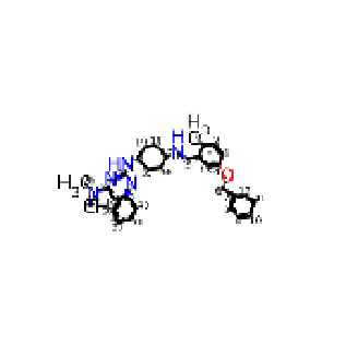 CC1C=CC(OCc2ccccc2)=CC1CN[C@H]1CC[C@@H](Nc2nc(N(C)C)c3ccccc3n2)CC1